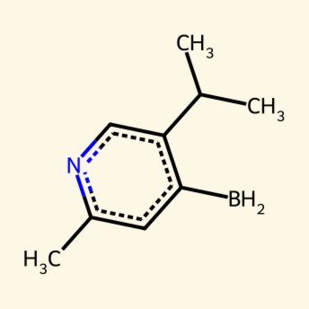 Bc1cc(C)ncc1C(C)C